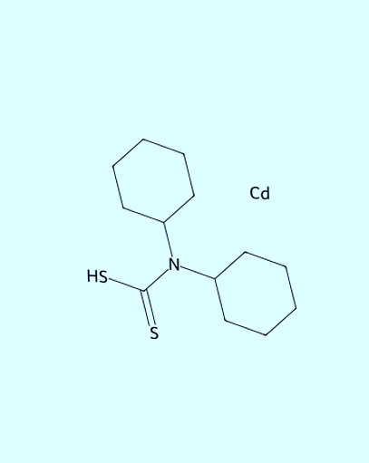 S=C(S)N(C1CCCCC1)C1CCCCC1.[Cd]